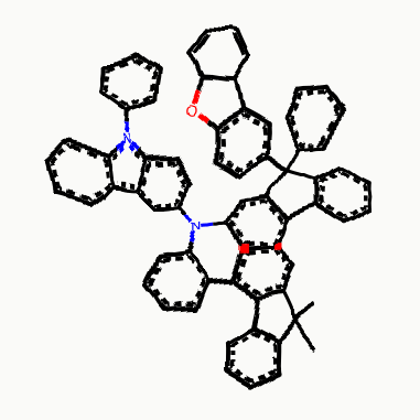 CC1(C)c2ccccc2-c2c(-c3ccccc3N(c3ccc4c(c3)C(c3ccccc3)(c3ccc5c(c3)C3C=CC=CC3O5)c3ccccc3-4)c3ccc4c(c3)c3ccccc3n4-c3ccccc3)cccc21